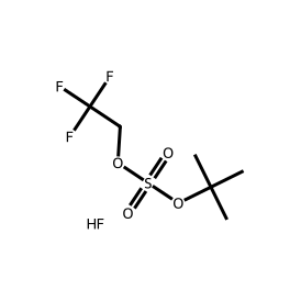 CC(C)(C)OS(=O)(=O)OCC(F)(F)F.F